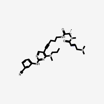 CCCN(C)c1nc(Nc2cccc(C#N)c2)ncc1C#CCCCNC(=O)[C@H](C)N(C)C(=O)/C=C/CN(C)C